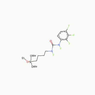 CCO[Si](CCCCN(F)C(=O)N(F)c1ccc(F)c(F)c1F)(OC)OC